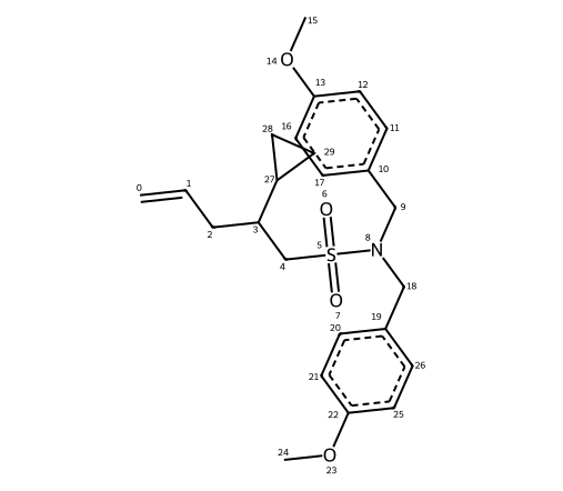 C=CCC(CS(=O)(=O)N(Cc1ccc(OC)cc1)Cc1ccc(OC)cc1)C1CC1